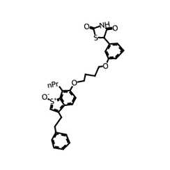 CCCc1c(OCCCCOc2cccc(C3SC(=O)NC3=O)c2)ccc2c(CCc3ccccc3)c[s+]([O-])c12